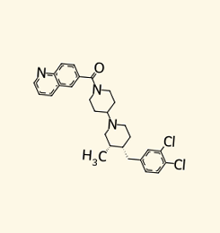 C[C@@H]1CN(C2CCN(C(=O)c3ccc4ncccc4c3)CC2)CC[C@@H]1Cc1ccc(Cl)c(Cl)c1